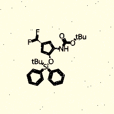 CC(C)(C)OC(=O)N[C@@H]1C[C@@H](C(F)F)C[C@H]1O[Si](c1ccccc1)(c1ccccc1)C(C)(C)C